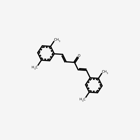 Cc1ccc(C)c(C=CC(=O)C=Cc2cc(C)ccc2C)c1